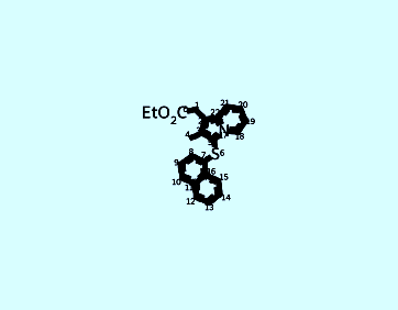 CCOC(=O)Cc1c(C)c(Sc2cccc3ccccc23)n2ccccc12